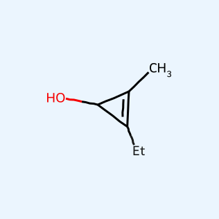 CCC1=C(C)C1O